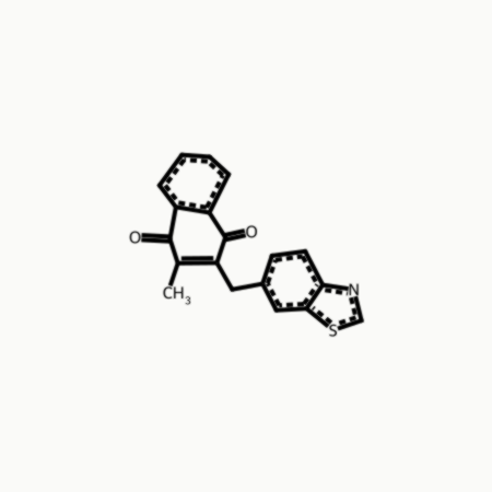 CC1=C(Cc2ccc3ncsc3c2)C(=O)c2ccccc2C1=O